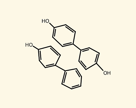 Oc1ccc(-c2ccc(O)cc2)cc1.Oc1ccc(-c2ccccc2)cc1